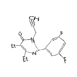 C#CCn1c(-c2cc(F)cc(F)c2)nc(CC)c(CC)c1=O